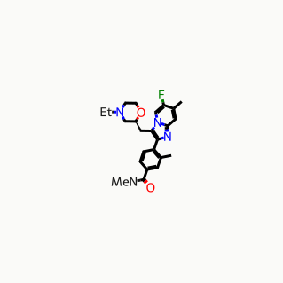 CCN1CCO[C@@H](Cc2c(-c3ccc(C(=O)NC)cc3C)nc3cc(C)c(F)cn23)C1